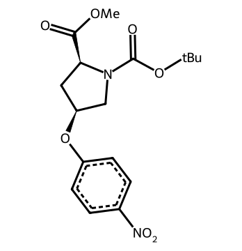 COC(=O)[C@@H]1C[C@H](Oc2ccc([N+](=O)[O-])cc2)CN1C(=O)OC(C)(C)C